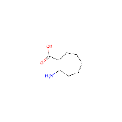 NC1CCCCCC1C(=O)O